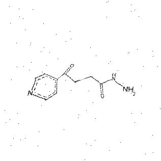 NNC(=O)[CH]CC(=O)c1ccncc1